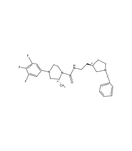 C[C@@H]1CN(c2cc(F)c(F)c(F)c2)CCN1C(=O)NCC[C@H]1CCN(Cc2ccccc2)C1